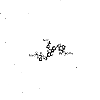 COCC(C)(C)c1ccc(C2Oc3cc(-c4cnc([C@@H]5CCCN5C(=O)[C@@H](NC(=O)OC)C(C)C)[nH]4)cc(F)c3-c3cc4cc(-c5cnc([C@@H]6CCCN6C(=O)[C@@H](NC(=O)OC)C(C)C)[nH]5)ccc4n32)s1